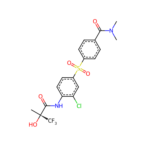 CN(C)C(=O)c1ccc(S(=O)(=O)c2ccc(NC(=O)[C@@](C)(O)C(F)(F)F)c(Cl)c2)cc1